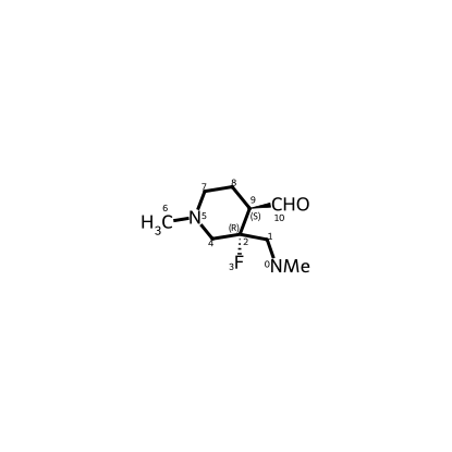 CNC[C@@]1(F)CN(C)CC[C@H]1C=O